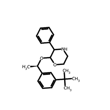 C[C@@H](OC1OCCNC1c1ccccc1)c1cccc(C(C)(C)C)c1